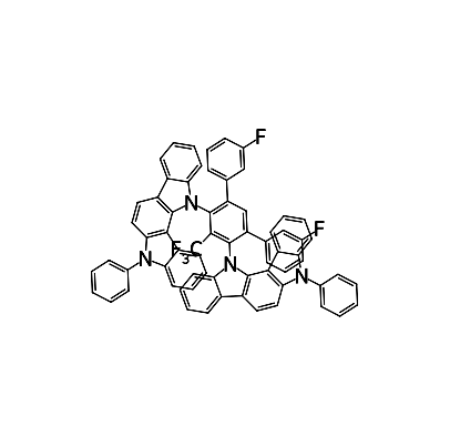 Fc1cccc(-c2cc(-c3cccc(F)c3)c(-n3c4ccccc4c4ccc5c(c6ccccc6n5-c5ccccc5)c43)c(C(F)(F)F)c2-n2c3ccccc3c3ccc4c(c5ccccc5n4-c4ccccc4)c32)c1